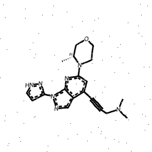 C[C@@H]1COCCN1c1cc(C#CCN(C)C)c2cnn(-c3cc[nH]n3)c2n1